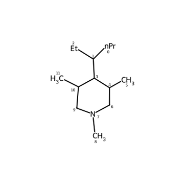 CCCC(CC)C1C(C)CN(C)CC1C